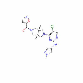 Cn1cc(Nc2ncc(Cl)c(N3C[C@]4(C)CN(C(=O)c5ccno5)C[C@]4(C)C3)n2)cn1